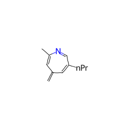 C=C1C=C(CCC)C=NC(C)=C1